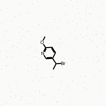 COc1ccc(C(C)Br)cn1